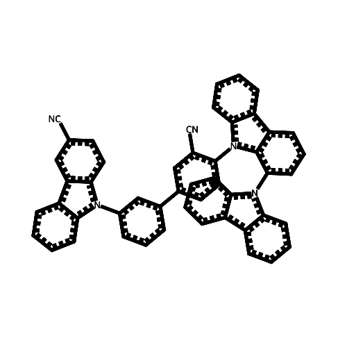 N#Cc1ccc2c(c1)c1ccccc1n2-c1cccc(-c2ccc(-n3c4ccccc4c4cccc(-n5c6ccccc6c6ccccc65)c43)c(C#N)c2)c1